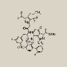 CSNc1nn(C)c2c(N(C)/C(=N\c3cc(-c4ccccc4F)ccc3C=O)C(Cc3cc(F)cc(F)c3)NC(=O)Cn3nc(C(F)F)c4c3C(F)(F)C(C)C4)ccc(Cl)c12